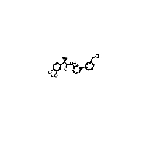 O=C(Nc1cccc(-c2cccc(CO)c2)n1)C1(c2ccc3c(c2)OCO3)CC1